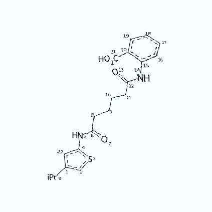 CC(C)c1csc(NC(=O)CCCCC(=O)Nc2ccccc2C(=O)O)c1